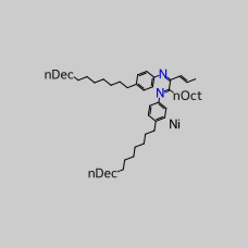 CC=CC(=Nc1ccc(CCCCCCCCCCCCCCCCC)cc1)C(CCCCCCCC)=Nc1ccc(CCCCCCCCCCCCCCCCC)cc1.[Ni]